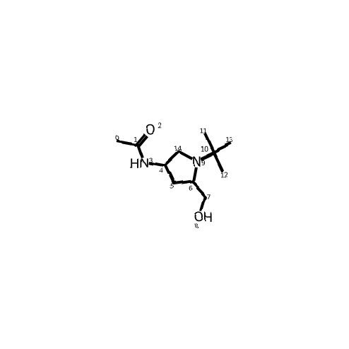 CC(=O)NC1CC(CO)N(C(C)(C)C)C1